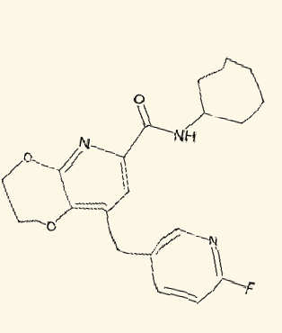 O=C(NC1CCCCC1)c1cc(Cc2ccc(F)nc2)c2c(n1)OCCO2